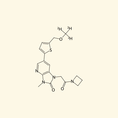 [2H]C([2H])([2H])OCc1ccc(-c2cnc3c(c2)n(CC(=O)N2CCC2)c(=O)n3C)s1